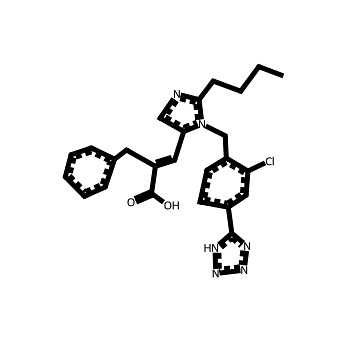 CCCCc1ncc(/C=C(\Cc2ccccc2)C(=O)O)n1Cc1ccc(-c2nnn[nH]2)cc1Cl